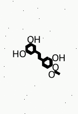 CC(=O)Oc1ccc(C=Cc2cc(O)cc(O)c2)cc1O